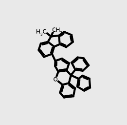 CC1(C)c2ccccc2-c2c(-c3ccc4c(c3)Oc3ccccc3C4(c3ccccc3)c3ccccc3)cccc21